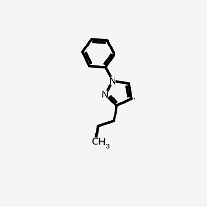 CCCc1[c]cn(-c2ccccc2)n1